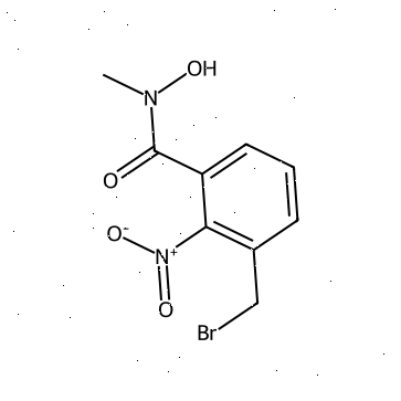 CN(O)C(=O)c1cccc(CBr)c1[N+](=O)[O-]